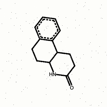 O=C1CCC2c3ccccc3CCC2N1